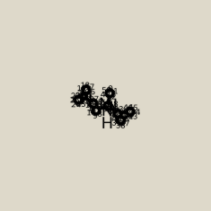 c1ccc(C2=NC(c3cccc4cc(-n5c6ccccc6c6ccccc65)ccc34)NC(c3cc4c5c(cccc5c3)-c3ccccc3-4)=N2)cc1